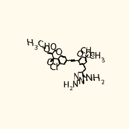 CCOC=C(C(=O)O)C(=O)c1ccc(C#Cc2cc(Cc3cnc(N)nc3N)cc(OC)c2OC)cc1Cl